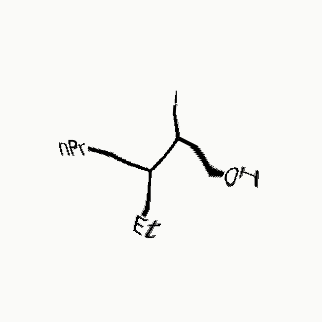 CCCC(CC)C(O)I